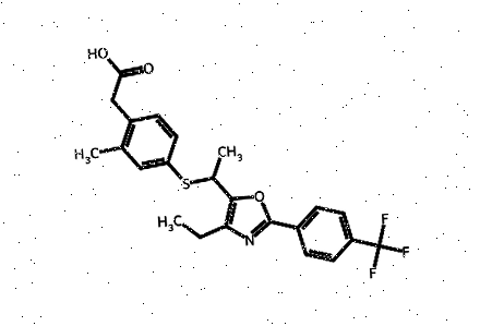 CCc1nc(-c2ccc(C(F)(F)F)cc2)oc1C(C)Sc1ccc(CC(=O)O)c(C)c1